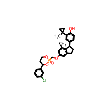 Cc1cc(OCP2(=O)OCCC(c3cccc(Cl)c3)O2)cc2c1C(c1ccc(O)c(C3(C)CC3)c1)CC2